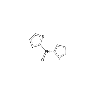 O=[PH](c1cccs1)c1cccs1